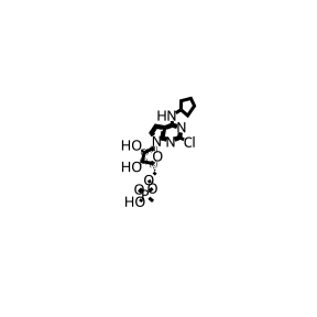 CP(=O)(O)OOC[C@H]1O[C@@H](n2ccc3c(NC4CCCC4)nc(Cl)nc32)[C@H](O)[C@@H]1O